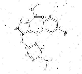 COC(=O)c1nnn(Cc2ccc(OC)cc2)c1Sc1cccc(Br)c1